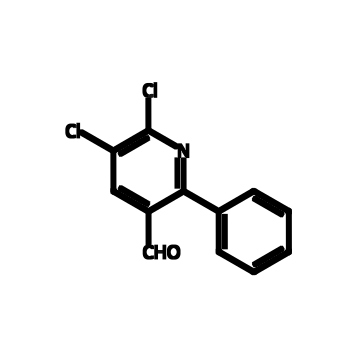 O=Cc1cc(Cl)c(Cl)nc1-c1ccccc1